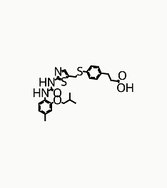 Cc1ccc(NC(=O)Nc2ncc(CSc3ccc(CCC(=O)O)cc3)s2)c(OCC(C)C)c1